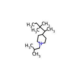 CCC(C)(C)C(C)C1CCN(CC(C)C)CC1